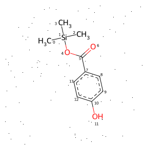 C[Si](C)(C)OC(=O)c1ccc(O)cc1